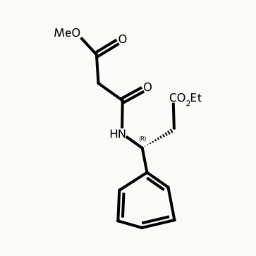 CCOC(=O)C[C@@H](NC(=O)CC(=O)OC)c1ccccc1